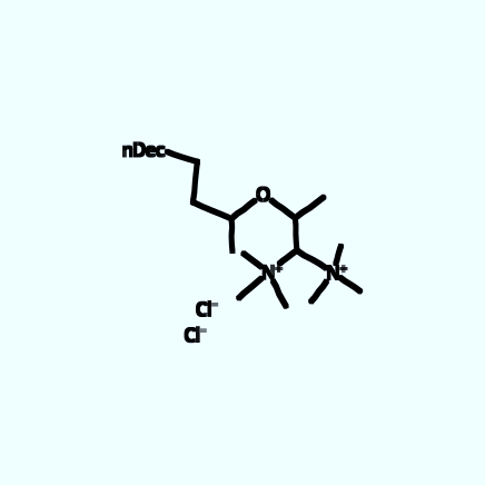 CCCCCCCCCCCCC(C)OC(C)C([N+](C)(C)C)[N+](C)(C)C.[Cl-].[Cl-]